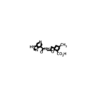 Cc1cc(C(=O)O)c2oc(CNC(=O)c3cncc4[nH]cnc34)cc2c1